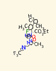 CCOC(=O)C[C@H](NC(=O)[C@H](CC(C)C)n1nc(CCN2CC(C(F)(F)F)C2)cc(C)c1=O)c1cc(-c2c(C)cccc2C)cc(C)c1F